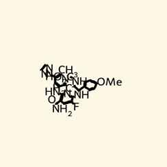 COc1ccc([C@H](Nc2nc(Nc3cnc(C)c(-n4nccn4)c3)c(C(N)=O)cc2F)[C@H](C)NC(=O)O)cc1